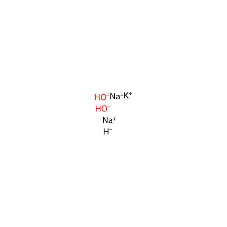 [H-].[K+].[Na+].[Na+].[OH-].[OH-]